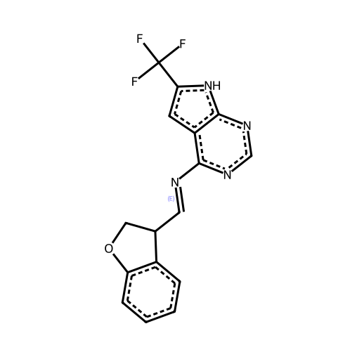 FC(F)(F)c1cc2c(/N=C/C3COc4ccccc43)ncnc2[nH]1